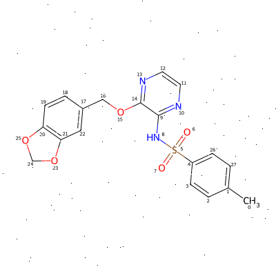 Cc1ccc(S(=O)(=O)Nc2nccnc2OCc2ccc3c(c2)OCO3)cc1